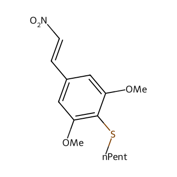 CCCCCSc1c(OC)cc(C=C[N+](=O)[O-])cc1OC